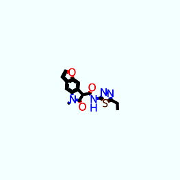 CCc1nnc(NC(=O)C2C(=O)N(C)c3cc4ccoc4cc32)s1